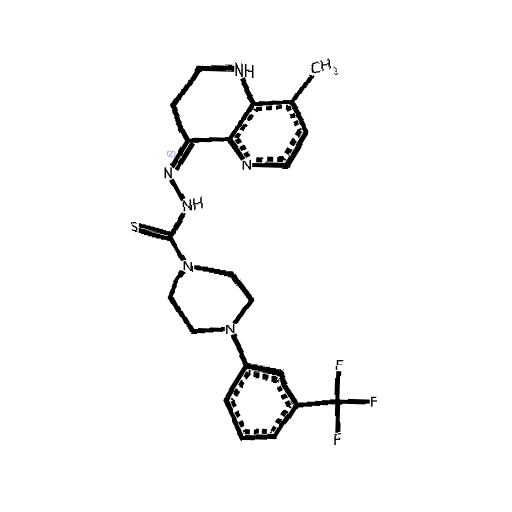 Cc1ccnc2c1NCC/C2=N/NC(=S)N1CCN(c2cccc(C(F)(F)F)c2)CC1